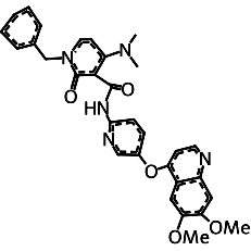 COc1cc2nccc(Oc3ccc(NC(=O)c4c(N(C)C)ccn(Cc5ccccc5)c4=O)nc3)c2cc1OC